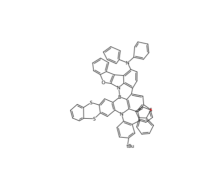 CC(C)(C)c1ccc(N2c3cc4c(cc3B3c5c(cc6sc7ccccc7c6c52)-c2ccc(N(c5ccccc5)c5ccccc5)c5c6c7ccccc7oc6n3c25)Sc2ccccc2S4)c(-c2ccccc2)c1